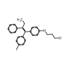 CCC(=C(c1ccc(I)cc1)c1ccc(OCCCCl)cc1)c1ccccc1